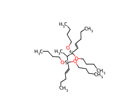 CCCC=C[Si](OCCCC)(OCCCC)C(C)[Si](C=CCCC)(OCCCC)OCCCC